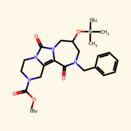 CC(C)(C)OC(=O)N1CCn2c(c3n(c2=O)CC(O[Si](C)(C)C(C)(C)C)CN(Cc2ccccc2)C3=O)C1